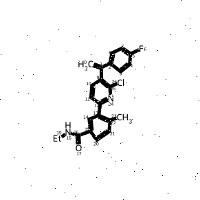 C=C(c1ccc(F)cc1)c1ccc(-c2cc(C(=O)NCC)ccc2C)nc1Cl